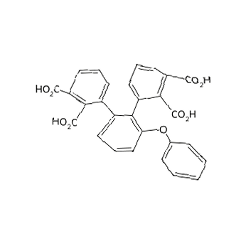 O=C(O)c1cccc(-c2cccc(Oc3ccccc3)c2-c2cccc(C(=O)O)c2C(=O)O)c1C(=O)O